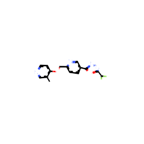 Cc1cnccc1OCc1ccc(-c2nnc(C(F)F)o2)cn1